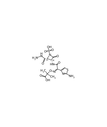 CC(C)(ON=C(C(=O)N[C@H]1C(=O)N(S(=O)(=O)O)[C@H]1C(=O)NN)c1csc(N)n1)C(=O)O